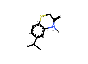 C=C1CSc2ccc(C(C)C)cc2N1C